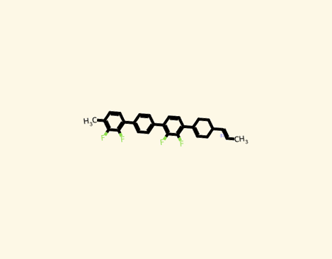 C/C=C/C1CC=C(c2ccc(-c3ccc(-c4ccc(C)c(F)c4F)cc3)c(F)c2F)CC1